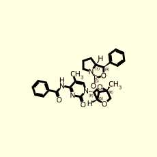 Cc1cn([C@@H]2O[C@]3(C)CO[C@H]2C3O[P@@]2O[C@H](c3ccccc3)[C@@H]3CCCN32)c(=O)nc1NC(=O)c1ccccc1